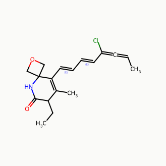 CC=C=C(Cl)/C=C/C=C/C1=C(C)C(CC)C(=O)NC12COC2